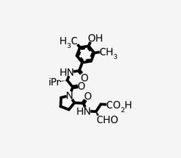 Cc1cc(C(=O)N[C@H](C(=O)N2CCCC2C(=O)N[C@H](C=O)CC(=O)O)C(C)C)cc(C)c1O